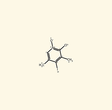 Cc1c[n+]([O-])c(Cl)c(C)c1I